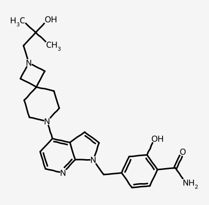 CC(C)(O)CN1CC2(CCN(c3ccnc4c3ccn4Cc3ccc(C(N)=O)c(O)c3)CC2)C1